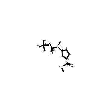 COC(=O)[C@H]1CC[C@H](N(C)C(=O)OC(C)(C)C)C1